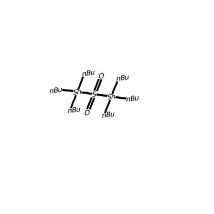 CCC[CH2][Sn]([CH2]CCC)([CH2]CCC)[S](=O)(=O)[Sn]([CH2]CCC)([CH2]CCC)[CH2]CCC